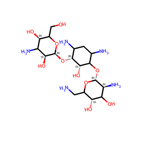 NCC1O[C@H](OC2C(N)CC(N)[C@@H](O[C@@H]3OC(CO)[C@H](O)C(N)[C@@H]3O)[C@H]2O)[C@@H](N)C(O)[C@@H]1O